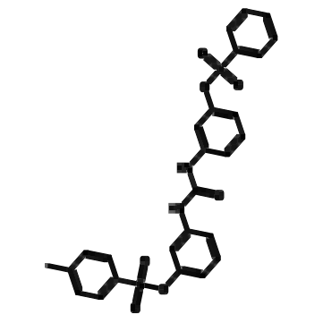 Cc1ccc(S(=O)(=O)Oc2cccc(NC(=O)Nc3cccc(OS(=O)(=O)c4ccccc4)c3)c2)cc1